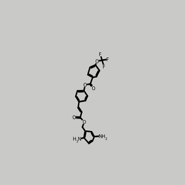 Nc1ccc(N)c(COC(=O)/C=C/c2ccc(OC(=O)c3ccc(OC(F)(F)F)cc3)cc2)c1